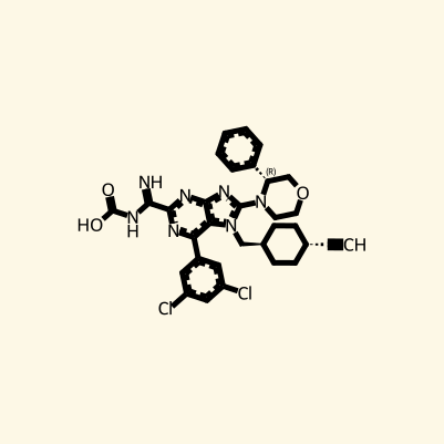 C#C[C@H]1CC[C@H](Cn2c(N3CCOC[C@H]3c3ccccc3)nc3nc(C(=N)NC(=O)O)nc(-c4cc(Cl)cc(Cl)c4)c32)CC1